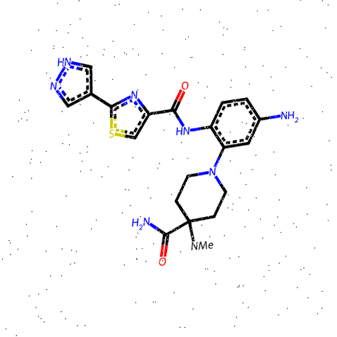 CNC1(C(N)=O)CCN(c2cc(N)ccc2NC(=O)c2csc(-c3cn[nH]c3)n2)CC1